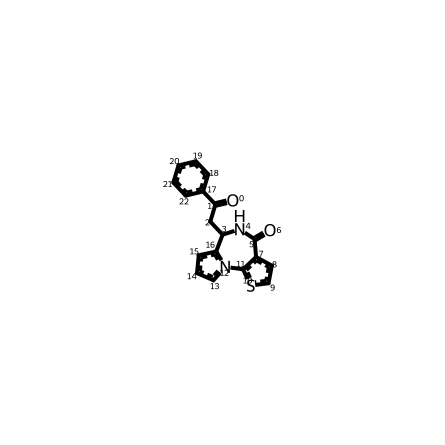 O=C(CC1NC(=O)c2ccsc2-n2cccc21)c1ccccc1